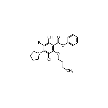 CCCCOc1c(Cl)c(N2CCCC2)c(F)c(C)c1C(=O)Oc1ccccc1